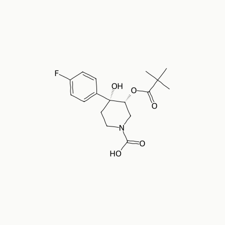 CC(C)(C)C(=O)O[C@@H]1CN(C(=O)O)CC[C@@]1(O)c1ccc(F)cc1